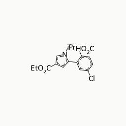 CCOC(=O)c1cc(-c2cc(Cl)ccc2C(=O)O)n(C(C)C)c1